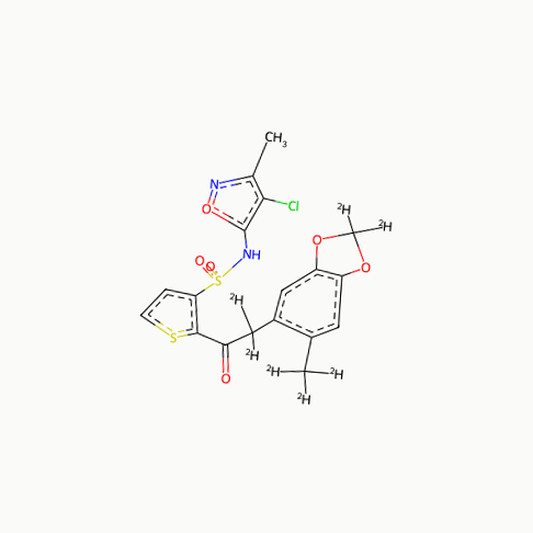 [2H]C1([2H])Oc2cc(C([2H])([2H])[2H])c(C([2H])([2H])C(=O)c3sccc3S(=O)(=O)Nc3onc(C)c3Cl)cc2O1